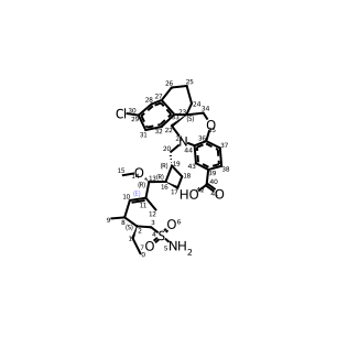 CC[C@H](CS(N)(=O)=O)C(C)/C=C(\C)[C@H](OC)[C@@H]1CC[C@H]1CN1C[C@@]2(CCCc3cc(Cl)ccc32)COc2ccc(C(=O)O)cc21